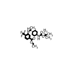 CCOC(=O)c1ccc(C(F)(F)F)c(NC(C)[C@H]2CC[C@H](NC(=O)OC(C)(C)C)CC2)c1